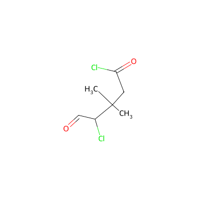 CC(C)(CC(=O)Cl)C(Cl)C=O